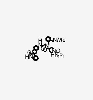 CNCc1ccccc1CN(CC(=O)Nc1ccc2c(c1)CC1(C2)C(=O)Nc2ccccc21)C(=O)C1CCN(C(=O)NC(C)C)CC1